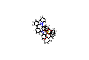 c1ccc(-n2c3ccccc3c3cccc(-c4cccc(N(c5ccccc5-c5cccc6cccc(C7CCCCC7)c56)c5cccc6c5sc5ccccc56)c4)c32)cc1